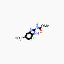 COC(=O)Nc1nc2cc(S(=O)(=O)O)ccc2[nH]1.Cl